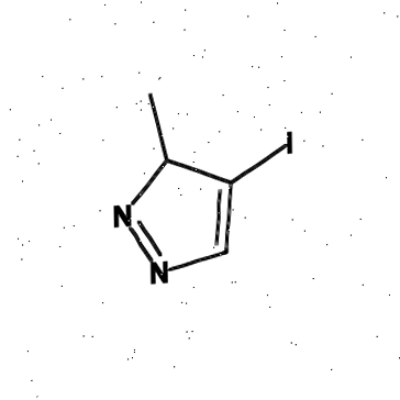 CC1N=NC=C1I